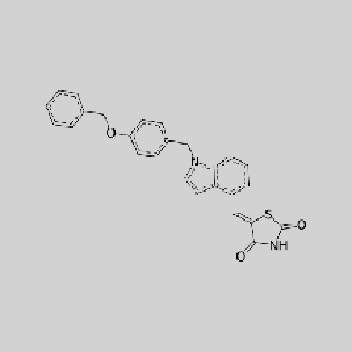 O=C1NC(=O)/C(=C/c2cccc3c2ccn3Cc2ccc(OCc3ccccc3)cc2)S1